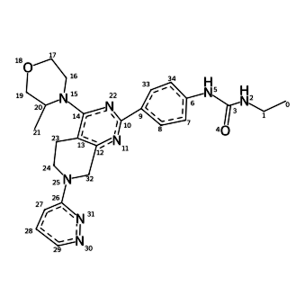 CCNC(=O)Nc1ccc(-c2nc3c(c(N4CCOCC4C)n2)CCN(c2cccnn2)C3)cc1